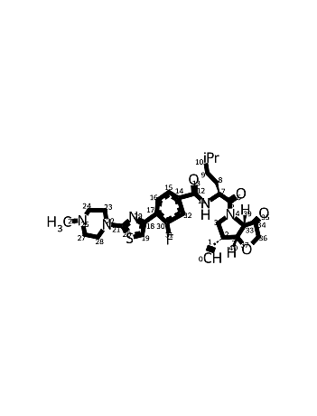 C#C[C@@H]1CN(C(=O)[C@H](CCC(C)C)NC(=O)c2ccc(-c3csc(N4CCN(C)CC4)n3)c(F)c2)[C@@H]2C(=O)CO[C@H]12